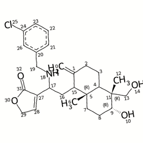 C=C1CCC2[C@](C)(CC[C@@H](O)[C@@]2(C)CO)C1CC(NCc1cccc(Cl)c1)C1=CCOC1=O